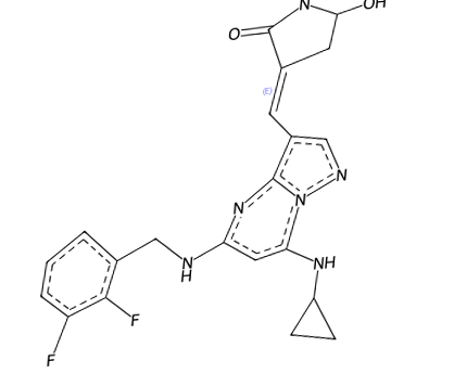 O=C1NC(O)C/C1=C\c1cnn2c(NC3CC3)cc(NCc3cccc(F)c3F)nc12